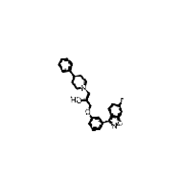 OC(COc1cccc(-c2noc3cc(F)ccc23)c1)CN1CCC(c2ccccc2)CC1